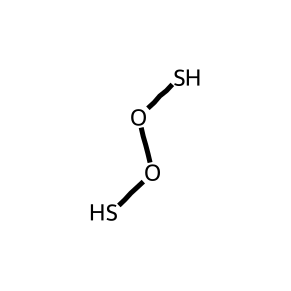 SOOS